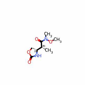 CON(C)C(=O)[C@H](C)[C@H]1COC(=O)N1